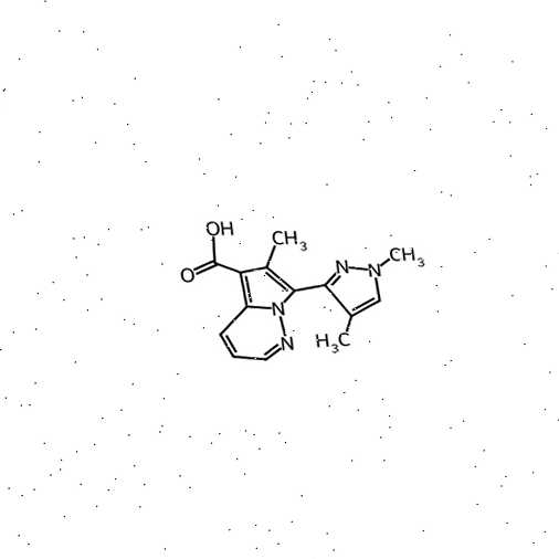 Cc1cn(C)nc1-c1c(C)c(C(=O)O)c2cccnn12